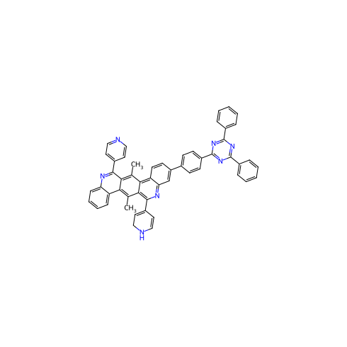 Cc1c2c(-c3ccncc3)nc3ccccc3c2c(C)c2c(C3=CCNC=C3)nc3cc(-c4ccc(-c5nc(-c6ccccc6)nc(-c6ccccc6)n5)cc4)ccc3c12